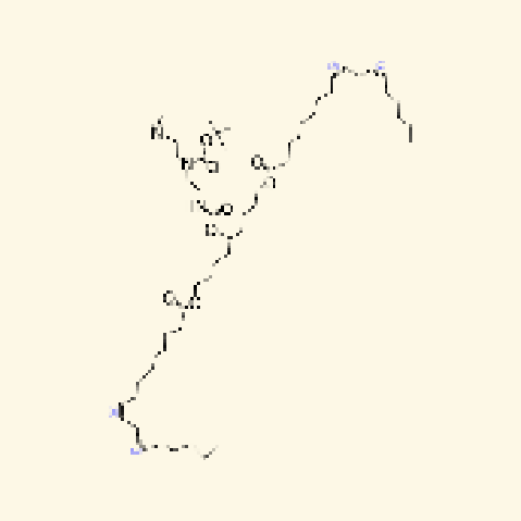 CCCCC/C=C\C/C=C\CCCCCCCC(=O)OCCCCC(CCCCOC(=O)CCCCCCC/C=C\C/C=C\CCCCC)OC(=O)NCCN(CCN(C)C)C(=O)OC(C)(C)C